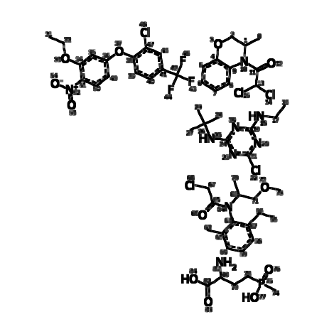 CC1COc2ccccc2N1C(=O)C(Cl)Cl.CCNc1nc(Cl)nc(NC(C)(C)C)n1.CCOc1cc(Oc2ccc(C(F)(F)F)cc2Cl)ccc1[N+](=O)[O-].CCc1cccc(C)c1N(C(=O)CCl)C(C)COC.CP(=O)(O)CCC(N)C(=O)O